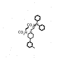 Cc1cccc(C2CCN(CCCN(c3ccccc3)c3ccccc3)CC2)c1.O=C(O)C=CC(=O)O